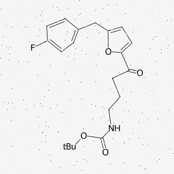 CC(C)(C)OC(=O)NCCCC(=O)c1ccc(Cc2ccc(F)cc2)o1